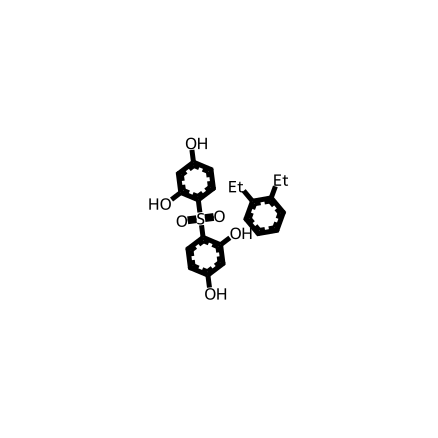 CCc1ccccc1CC.O=S(=O)(c1ccc(O)cc1O)c1ccc(O)cc1O